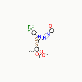 CCCc1cc(SCc2sc(-c3ccc(C(F)(F)F)cc3)nc2CN2CCN(c3cccc(OC)c3)CC2)ccc1OC(C)C(=O)OCC